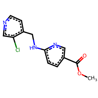 COC(=O)c1ccc(NCc2ccncc2Cl)nc1